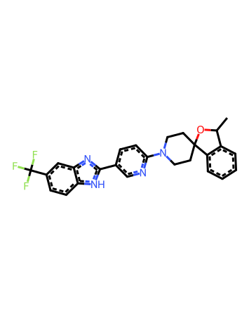 CC1OC2(CCN(c3ccc(-c4nc5cc(C(F)(F)F)ccc5[nH]4)cn3)CC2)c2ccccc21